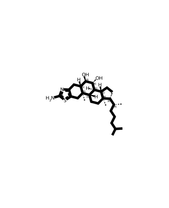 CC(C)CCC[C@@H](C)[C@H]1CC[C@H]2[C@@H]3[C@@H](O)[C@H](O)[C@H]4Cc5nc(N)sc5C[C@]4(C)[C@H]3CC[C@]12C